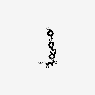 COC(=O)CC(C)C(=O)N1CCc2nc(-c3ccc(OCc4ccc(Cl)cc4)cc3)ncc2C1